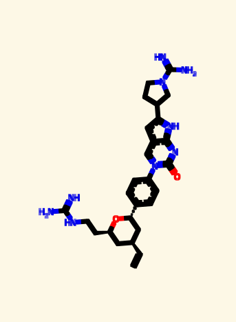 C=C[C@H]1C[C@@H](CCNC(=N)N)O[C@H](c2ccc(-n3cc4cc(C5CCN(C(=N)N)C5)[nH]c4nc3=O)cc2)C1